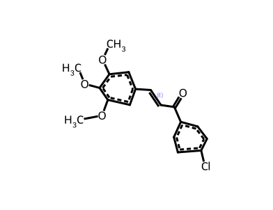 COc1cc(/C=C/C(=O)c2ccc(Cl)cc2)cc(OC)c1OC